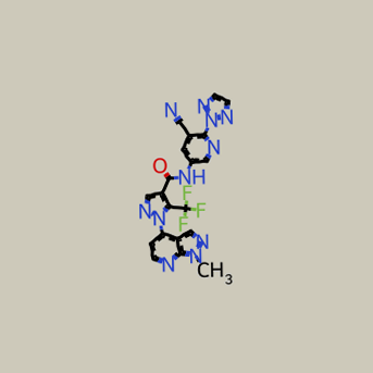 Cn1ncc2c(-n3ncc(C(=O)Nc4cnc(-n5nccn5)c(C#N)c4)c3C(F)(F)F)ccnc21